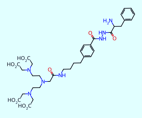 NC(Cc1ccccc1)C(=O)NNC(=O)c1ccc(CCCCNC(=O)CN(CCN(CC(=O)O)CC(=O)O)CCN(CC(=O)O)CC(=O)O)cc1